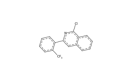 FC(F)(F)c1ccccc1-c1cc2ccccc2c(Cl)n1